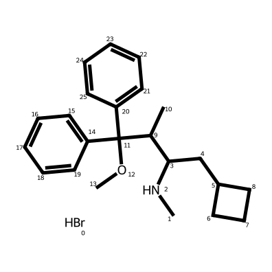 Br.CNC(CC1CCC1)C(C)C(OC)(c1ccccc1)c1ccccc1